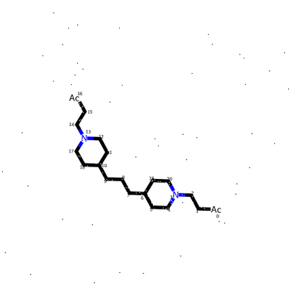 CC(=O)CCN1CCC(CCCC2CCN(CCC(C)=O)CC2)CC1